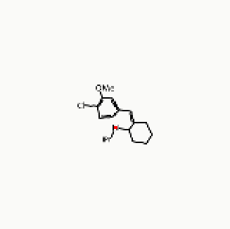 COc1cc(/C=C2/CCCCC2N(C)C(C)C)ccc1Cl